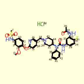 COc1cc(NS(C)(=O)=O)ccc1Oc1ccc(CN2CCC(N(C(=O)Nc3ccc(F)c(NC(C)=O)c3)c3ccccc3)CC2)cn1.Cl